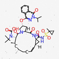 CC(C)n1nc(O[C@@H]2C[C@H]3C(=O)N[C@]4(C(=O)NS(=O)(=O)C5(C)CC5)C[C@H]4/C=C\CC[C@H](C)C[C@@H](C)[C@H](N(C(=O)O)C(C)(C)C)C(=O)N3C2)c2ccccc2c1=O